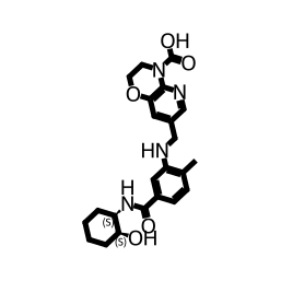 Cc1ccc(C(=O)N[C@H]2CCCC[C@@H]2O)cc1NCc1cnc2c(c1)OCCN2C(=O)O